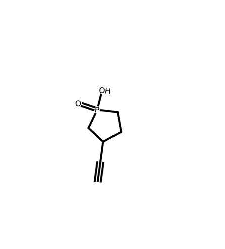 C#CC1CCP(=O)(O)C1